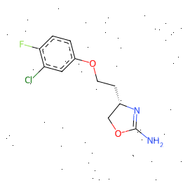 NC1=N[C@@H](CCOc2ccc(F)c(Cl)c2)CO1